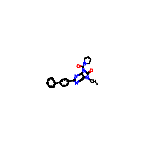 Cn1c(=O)n(C(=O)N2CCCC2)c2nc(-c3ccc(-c4ccccc4)cc3)ncc21